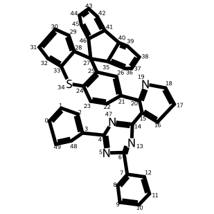 c1ccc(-c2nc(-c3ccccc3)nc(-c3cccnc3-c3ccc4c(c3)C3(c5ccccc5S4)c4ccccc4-c4ccccc43)n2)cc1